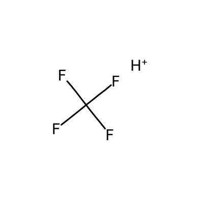 FC(F)(F)F.[H+]